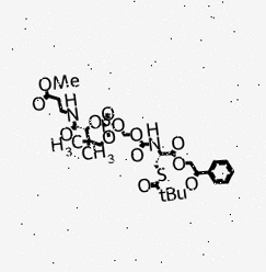 COC(=O)CCNC(=O)[C@@H]1OP(=O)(OCOC(=O)N[C@@H](CSC(=O)C(C)(C)C)C(=O)OCC(=O)c2ccccc2)OCC1(C)C